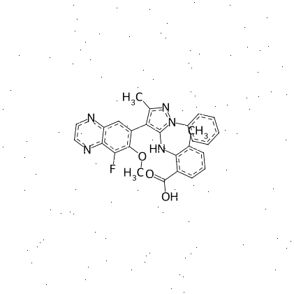 COc1c(-c2c(C)nn(-c3ccccc3)c2Nc2c(C)cccc2C(=O)O)cc2nccnc2c1F